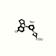 O=C([O-])C1CN(c2cccc(N3c4ccc(Cl)cc4C4CCCC43)c2)C1.[Na+]